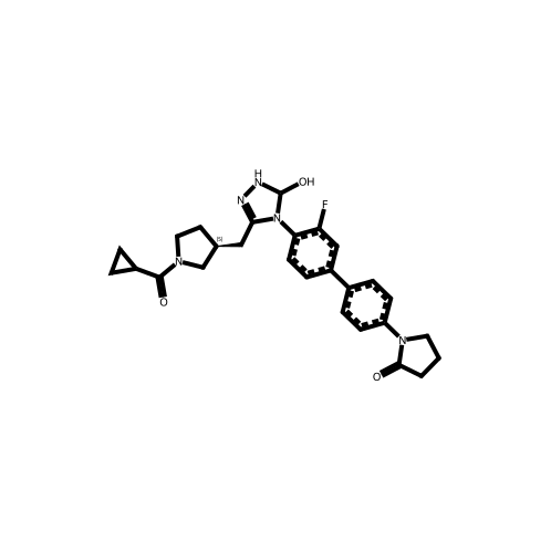 O=C(C1CC1)N1CC[C@@H](CC2=NNC(O)N2c2ccc(-c3ccc(N4CCCC4=O)cc3)cc2F)C1